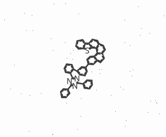 c1ccc(-c2nc(-c3ccccc3)nc(-c3ccccc3-c3cccc(-c4ccc5c(ccc6ccc7ccc8c9ccccc9sc8c7c65)c4)c3)n2)cc1